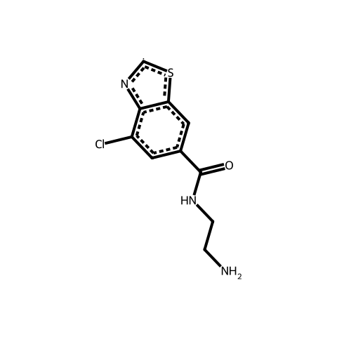 NCCNC(=O)c1cc(Cl)c2n[c]sc2c1